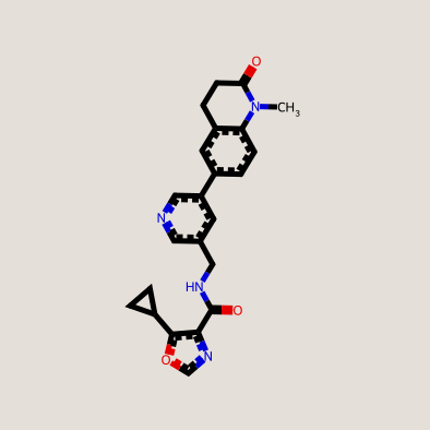 CN1C(=O)CCc2cc(-c3cncc(CNC(=O)c4ncoc4C4CC4)c3)ccc21